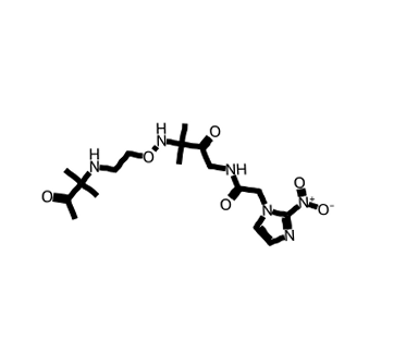 CC(=O)C(C)(C)NCCONC(C)(C)C(=O)CNC(=O)Cn1ccnc1[N+](=O)[O-]